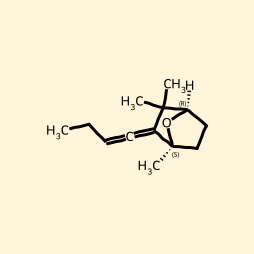 CCC=C=C1C(C)(C)[C@H]2CC[C@]1(C)O2